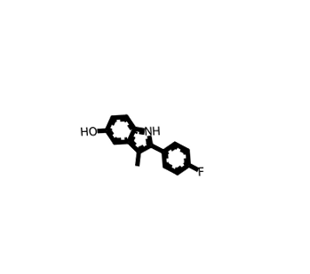 Cc1c(-c2ccc(F)cc2)[nH]c2ccc(O)cc12